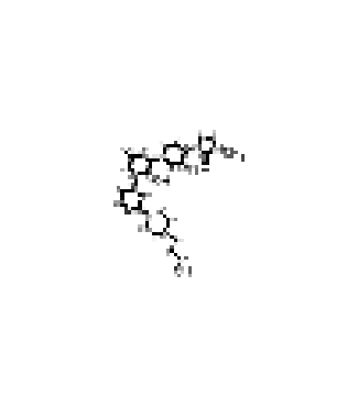 Cn1ccn(-c2ccc(-c3cc(F)cc(-c4ccnc(N5CCN(CCCO)CC5)c4)c3O)cc2Cl)c1=O